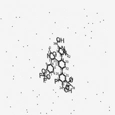 Cc1nc(-c2ccc3c(c2)OC(F)(F)O3)c(-c2cc(-c3cc(F)c(CO)c(S(C)(=O)=O)c3)ccc2-c2cc(CO)nn2C)o1